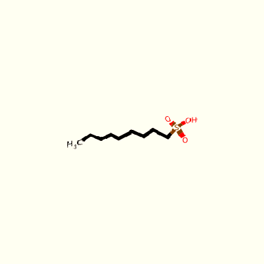 CCCCCC[CH]CCS(=O)(=O)O